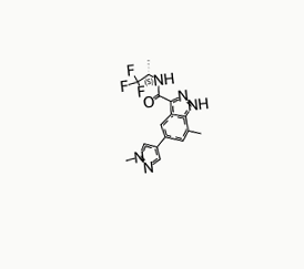 Cc1cc(-c2cnn(C)c2)cc2c(C(=O)N[C@@H](C)C(F)(F)F)n[nH]c12